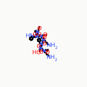 COCCN(CC(=O)N(CCCCN)CC(=O)N(CC(=O)N(CCO)CC(=O)N(CCCCN)CC(C)=O)[C@@H](C)c1ccccc1)C(=O)CN(Cc1c[nH]c2ccccc12)C(=O)CN(CCOC)C(C)(C)C